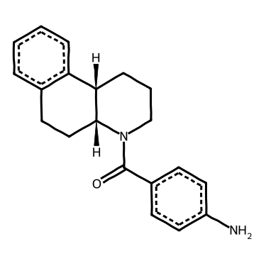 Nc1ccc(C(=O)N2CCC[C@H]3c4ccccc4CC[C@H]32)cc1